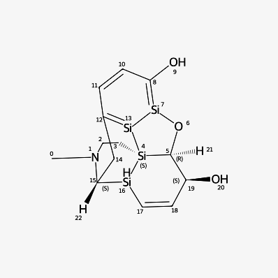 CN1CC[Si@@]23[C@H]4O[si]5c(O)ccc([si]52)C[C@@H]1[SiH]3C=C[C@@H]4O